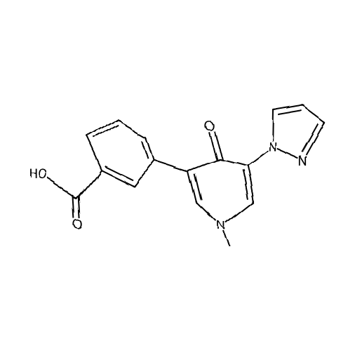 Cn1cc(-c2cccc(C(=O)O)c2)c(=O)c(-n2cccn2)c1